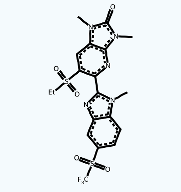 CCS(=O)(=O)c1cc2c(nc1-c1nc3cc(S(=O)(=O)C(F)(F)F)ccc3n1C)n(C)c(=O)n2C